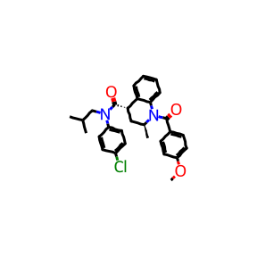 COc1ccc(C(=O)N2c3ccccc3[C@@H](C(=O)N(CC(C)C)c3ccc(Cl)cc3)C[C@@H]2C)cc1